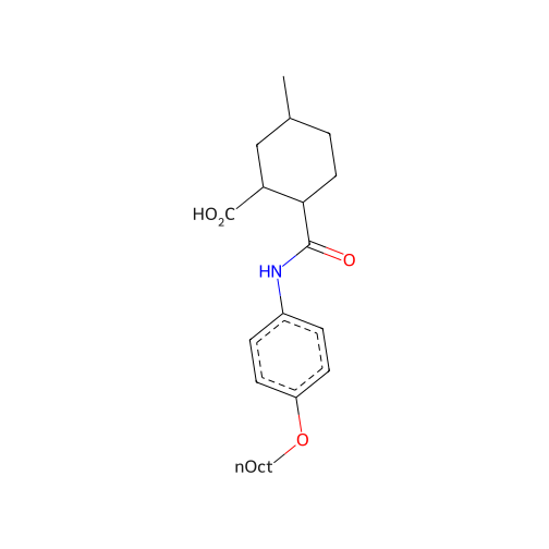 CCCCCCCCOc1ccc(NC(=O)C2CCC(C)CC2C(=O)O)cc1